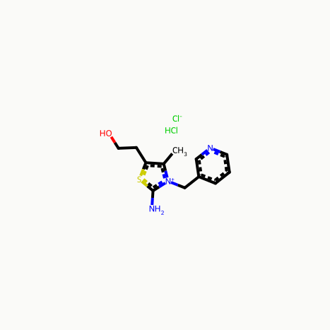 Cc1c(CCO)sc(N)[n+]1Cc1cccnc1.Cl.[Cl-]